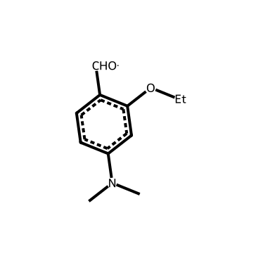 CCOc1cc(N(C)C)ccc1[C]=O